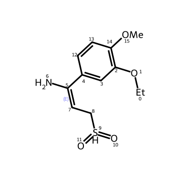 CCOc1cc(/C(N)=C\C[SH](=O)=O)ccc1OC